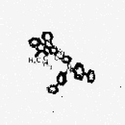 C/C=C1\C(=C/C)C2(c3ccccc31)c1cc3c(cc1C1C=CC=CC12)Oc1ccc(N(c2ccc(-c4ccccc4)cc2)c2ccc(-c4ccccc4)cc2)cc1O3